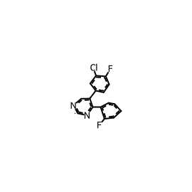 Fc1ccc(-c2cn[c]nc2-c2ccccc2F)cc1Cl